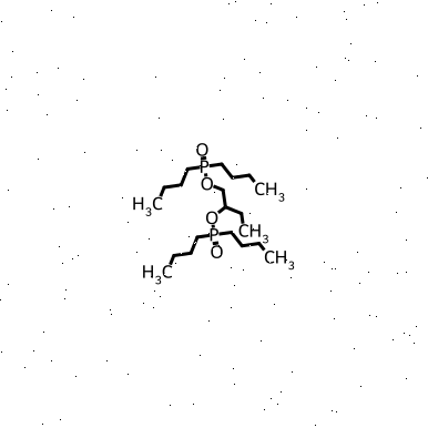 CCCCP(=O)(CCCC)OCC(CC)OP(=O)(CCCC)CCCC